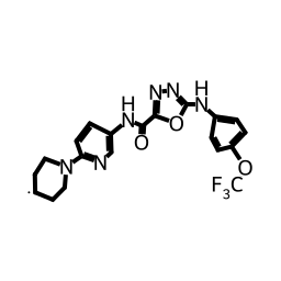 O=C(Nc1ccc(N2CC[CH]CC2)nc1)c1nnc(Nc2ccc(OC(F)(F)F)cc2)o1